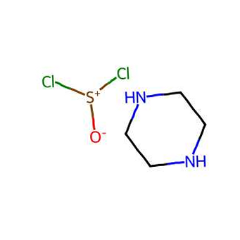 C1CNCCN1.[O-][S+](Cl)Cl